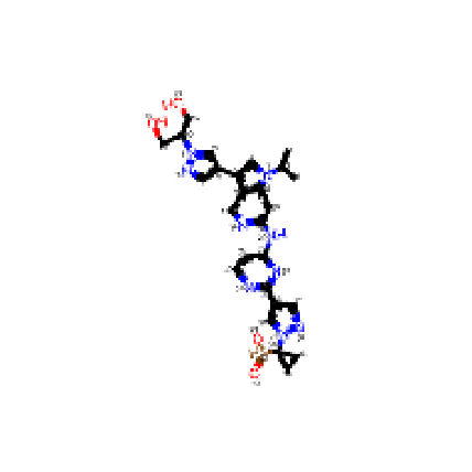 CC(C)n1cc(-c2cnn(C(CO)CO)c2)c2cnc(Nc3ccnc(-c4cnn(C5([SH](=O)=O)CC5)c4)n3)cc21